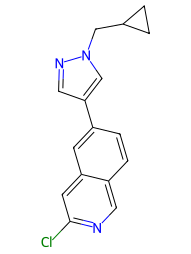 Clc1cc2cc(-c3cnn(CC4CC4)c3)ccc2cn1